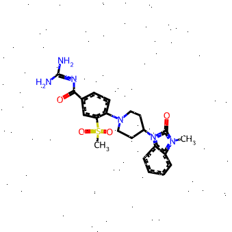 Cn1c(=O)n(C2CCN(c3ccc(C(=O)N=C(N)N)cc3S(C)(=O)=O)CC2)c2ccccc21